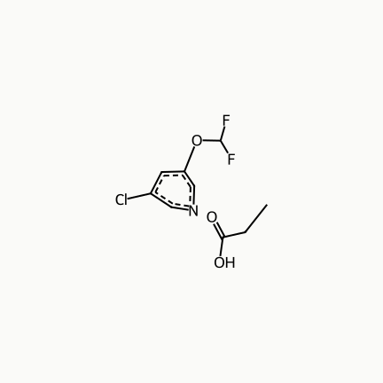 CCC(=O)O.FC(F)Oc1cncc(Cl)c1